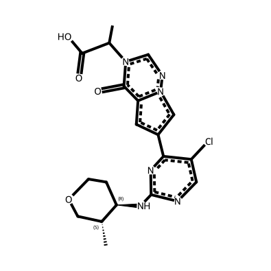 CC(C(=O)O)n1cnn2cc(-c3nc(N[C@@H]4CCOC[C@H]4C)ncc3Cl)cc2c1=O